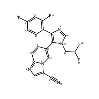 N#Cc1cnc2ccc(-c3c(-c4ccc(F)cc4F)ncn3CC(F)F)cn12